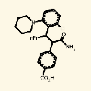 CCCC(c1c(Cl)cccc1N1CCCCC1)C(C(N)=O)c1ccc(C(=O)O)cc1